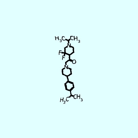 CC(C)c1ccc(C2CCN(CC(=O)C3CCN(C(C)C)CC3(F)F)CC2)cc1